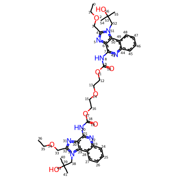 CCOCc1nc2c(NC(=O)OCCOCCOC(=O)Nc3nc4ccccc4c4c3nc(COCC)n4CC(C)(C)O)nc3ccccc3c2n1CC(C)(C)O